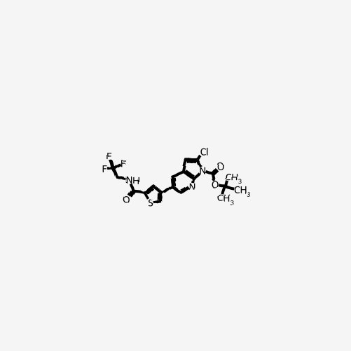 CC(C)(C)OC(=O)n1c(Cl)cc2cc(-c3csc(C(=O)NCC(F)(F)F)c3)cnc21